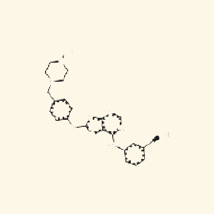 C#Cc1cccc(Nc2ncnc3nc(Nc4ccc(CN5CCN(C)CC5)cc4)sc23)c1